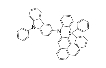 C1=Cc2cccc3cc4c(c(c23)C1)[Si](c1ccccc1)(c1ccccc1)c1ccccc1N4c1ccc2c(c1)c1ccccc1n2-c1ccccc1